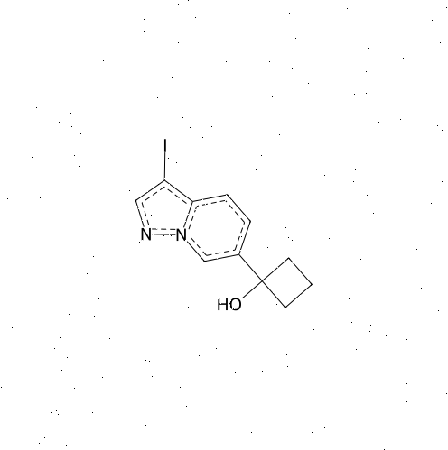 OC1(c2ccc3c(I)cnn3c2)CCC1